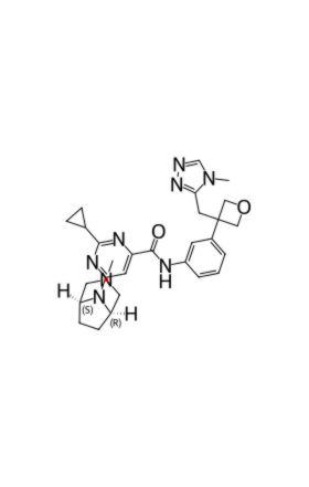 CN1C[C@H]2CC[C@@H](C1)N2c1cc(C(=O)Nc2cccc(C3(Cc4nncn4C)COC3)c2)nc(C2CC2)n1